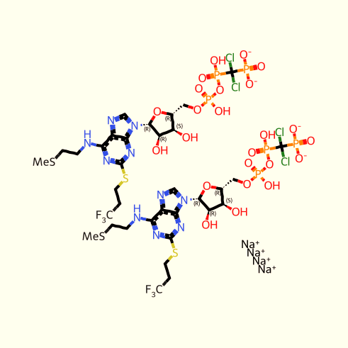 CSCCNc1nc(SCCC(F)(F)F)nc2c1ncn2[C@@H]1O[C@H](COP(=O)(O)OP(=O)(O)C(Cl)(Cl)P(=O)([O-])[O-])[C@@H](O)[C@H]1O.CSCCNc1nc(SCCC(F)(F)F)nc2c1ncn2[C@@H]1O[C@H](COP(=O)(O)OP(=O)(O)C(Cl)(Cl)P(=O)([O-])[O-])[C@@H](O)[C@H]1O.[Na+].[Na+].[Na+].[Na+]